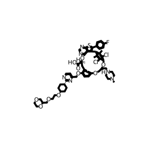 Cc1c(Cl)c2c(Cl)c(C)c1-c1c(-c3ccc(F)cc3)sc3ncnc(c13)O[C@@H](C(=O)O)Cc1cc(ccc1OCc1ccnc([C@H]3CC[C@H](OCCOCC4COCCO4)CC3)n1)OC[C@@H](CN1CCN(C)CC1)O2